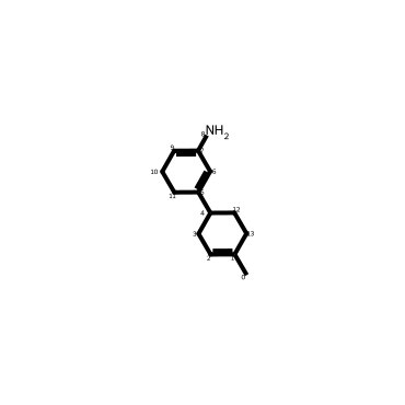 CC1=CCC(C2=CC(N)=CCC2)CC1